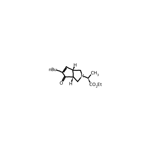 CCCCC1=C[C@@H]2CN([C@@H](C)C(=O)OCC)C[C@@H]2C1=O